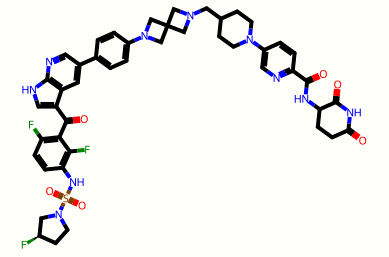 O=C1CCC(NC(=O)c2ccc(N3CCC(CN4CC5(C4)CN(c4ccc(-c6cnc7[nH]cc(C(=O)c8c(F)ccc(NS(=O)(=O)N9CC[C@@H](F)C9)c8F)c7c6)cc4)C5)CC3)cn2)C(=O)N1